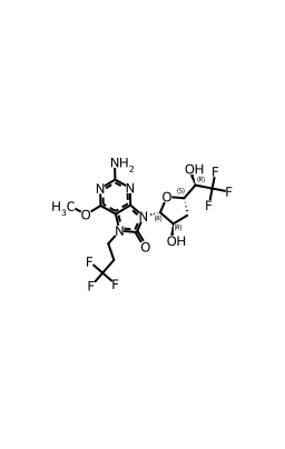 COc1nc(N)nc2c1n(CCC(F)(F)F)c(=O)n2[C@@H]1O[C@H]([C@@H](O)C(F)(F)F)C[C@H]1O